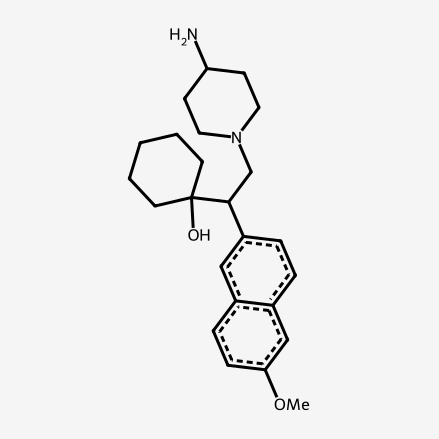 COc1ccc2cc(C(CN3CCC(N)CC3)C3(O)CCCCC3)ccc2c1